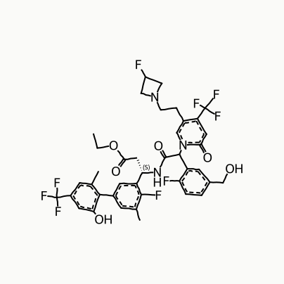 CCOC(=O)C[C@H](NC(=O)C(c1cc(CO)ccc1F)n1cc(CCN2CC(F)C2)c(C(F)(F)F)cc1=O)c1cc(-c2c(C)cc(C(F)(F)F)cc2O)cc(C)c1F